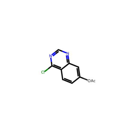 CC(=O)Oc1ccc2c(Cl)ncnc2c1